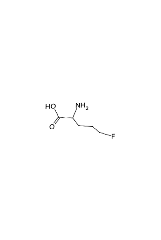 NC(CCCF)C(=O)O